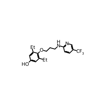 CCc1cc(O)cc(CC)c1OCCCNc1ccc(C(F)(F)F)cn1